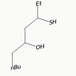 CCCCCC(O)CC(S)CC